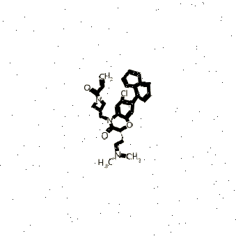 C=CC(=O)N1CC(CN2C(=O)[C@@H](CCN(C)C)Oc3cc(-c4c[c]cc5ccccc45)c(Cl)cc32)C1